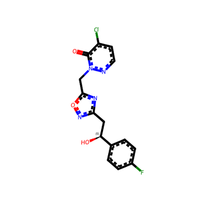 O=c1c(Cl)ccnn1Cc1nc(C[C@H](O)c2ccc(F)cc2)no1